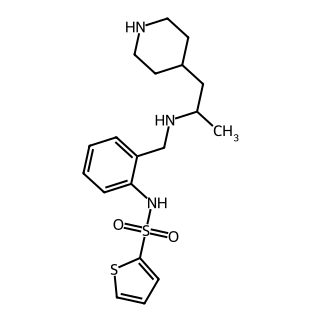 CC(CC1CCNCC1)NCc1ccccc1NS(=O)(=O)c1cccs1